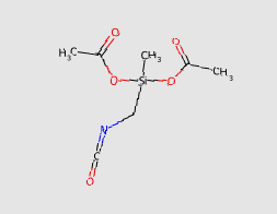 CC(=O)O[Si](C)(CN=C=O)OC(C)=O